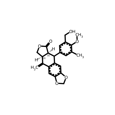 C=C1c2cc3c(cc2C(c2cc(C)c(OC)c(CO)c2)[C@@H]2C(=O)OC[C@H]12)OCO3